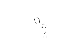 [CH2]C=Cc1cnn(-c2ccccc2)c1